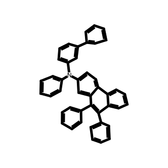 c1ccc(-c2cccc(N(c3ccccc3)c3ccc4c(c3)c(-c3ccccc3)c(-c3ccccc3)c3ccccc34)c2)cc1